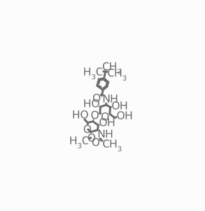 CO[C@@H]1OC(CO)[C@@H](O[C@@H]2OC(CO)[C@H](O)C(NC(=O)c3ccc(C(C)(C)C)cc3)C2O)C(O)C1NC(C)=O